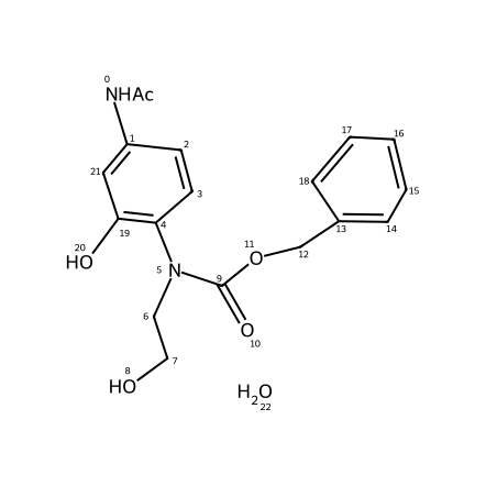 CC(=O)Nc1ccc(N(CCO)C(=O)OCc2ccccc2)c(O)c1.O